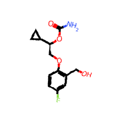 NC(=O)O[C@@H](COc1ccc(F)cc1CO)C1CC1